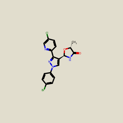 C[C@H]1O[C@H](c2cn(-c3ccc(Br)cc3)nc2-c2ccc(Cl)cn2)NC1=O